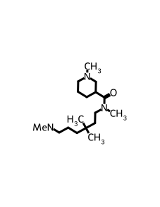 CNCCCC(C)(C)CCN(C)C(=O)C1CCCN(C)C1